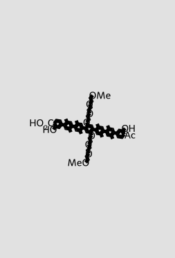 COCCOCCOCCOc1cc(-c2cc(C)c(-c3cc(C)c(-c4ccc(C(=O)O)c(O)c4)cc3C)cc2C)c(OCCOCCOCCOC)cc1-c1cc(C)c(-c2cc(C)c(-c3ccc(C(C)=O)c(O)c3)cc2C)cc1C